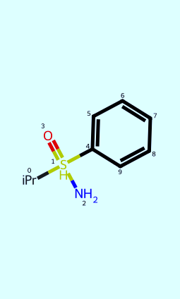 CC(C)[SH](N)(=O)c1ccccc1